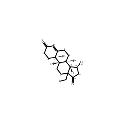 CCC12CC[C@H]3[C@@H](CCC4=CC(=O)CC[C@@H]43)[C@@H]1[C@@H](O)CC2=O